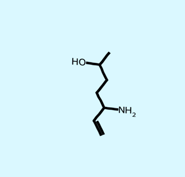 C=CC(N)CCC(C)O